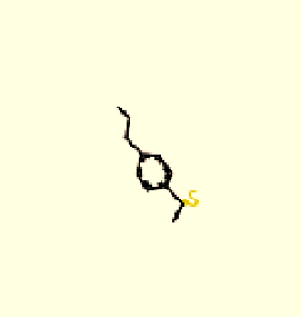 CCCc1ccc(C(C)=S)cc1